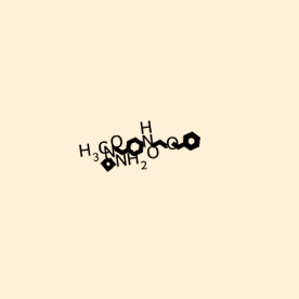 CN(C(=O)[C@@H](N)C1CCC(NC(=O)CCOCc2ccccc2)CC1)C1CCC1